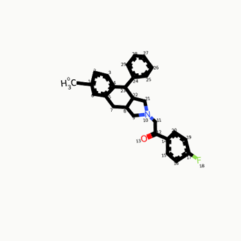 Cc1ccc2c(c1)CC1CN(CC(=O)c3ccc(F)cc3)CC1C2c1ccccc1